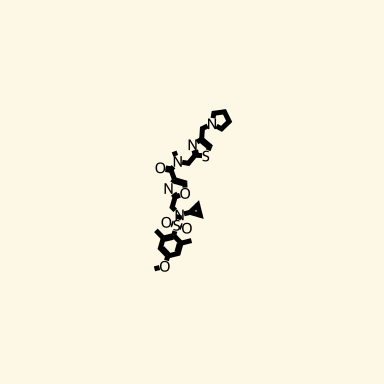 COc1cc(C)c(S(=O)(=O)N(Cc2nc(C(=O)N(C)Cc3nc(CN4CCCC4)cs3)co2)C2CC2)c(C)c1